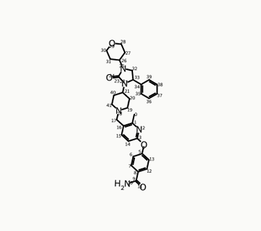 Cc1nc(Oc2ccc(C(N)=O)cc2)ccc1CN1CCC(N2C(=O)N(C3CCOCC3)CC2c2ccccc2)CC1